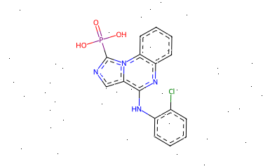 O=P(O)(O)c1n[c]c2c(Nc3ccccc3Cl)nc3ccccc3n12